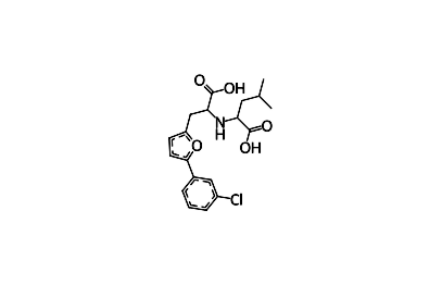 CC(C)CC(NC(Cc1ccc(-c2cccc(Cl)c2)o1)C(=O)O)C(=O)O